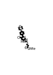 COC(=O)CCSc1nc2nc(-c3c#cc(N4CCOCC4)cc3)c(Cl)cc2[nH]1